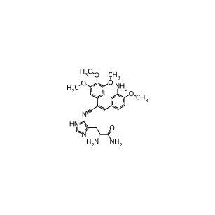 COc1ccc(/C=C(/C#N)c2cc(OC)c(OC)c(OC)c2)cc1N.NC(=O)[C@H](N)Cc1c[nH]cn1